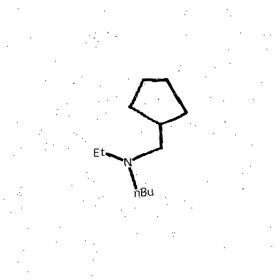 CCCCN(CC)CC1CCCC1